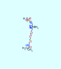 Bc1c(CN2CC(S(C)(=O)=O)C2)nnn1CCOCCOCCOCCNC(=O)C(=C)C